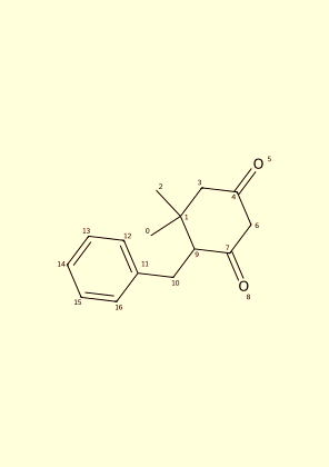 CC1(C)CC(=O)CC(=O)C1Cc1ccccc1